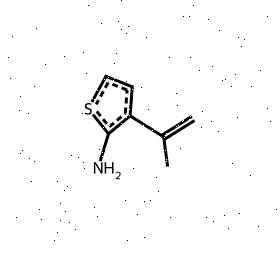 C=C(C)c1ccsc1N